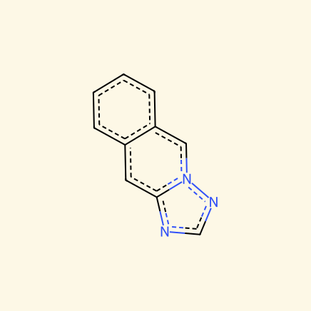 c1ccc2cn3ncnc3cc2c1